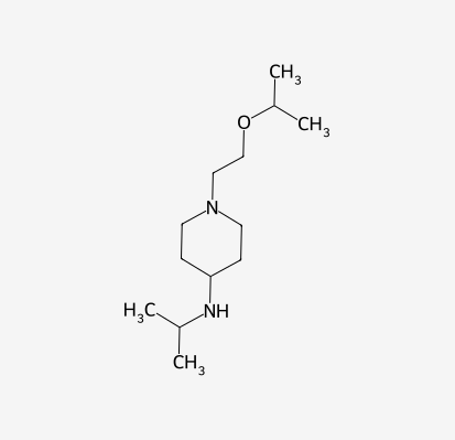 CC(C)NC1CCN(CCOC(C)C)CC1